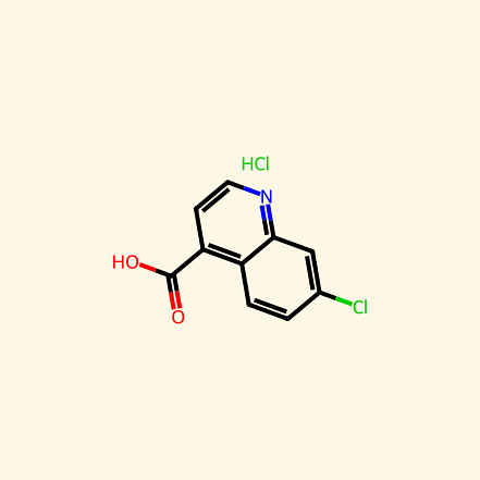 Cl.O=C(O)c1ccnc2cc(Cl)ccc12